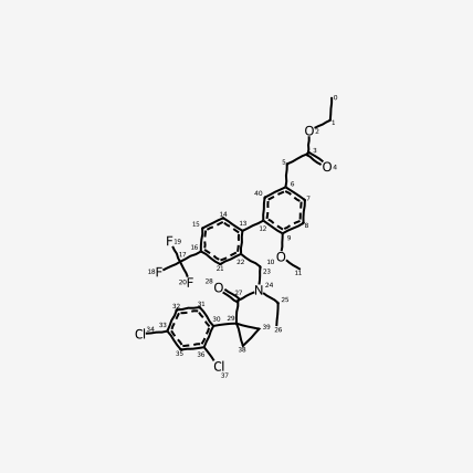 CCOC(=O)Cc1ccc(OC)c(-c2ccc(C(F)(F)F)cc2CN(CC)C(=O)C2(c3ccc(Cl)cc3Cl)CC2)c1